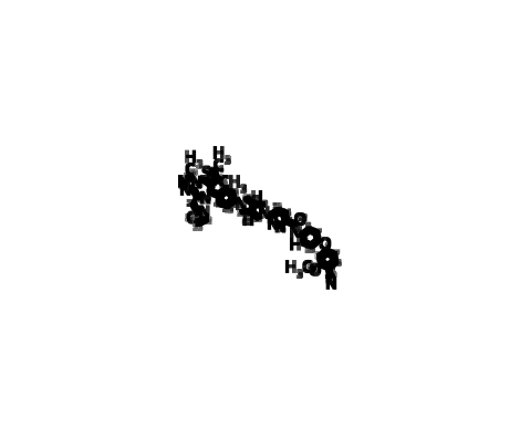 COc1cc(OC2CCC(NC(=O)c3ccc(N4C[C@H]5CN(c6ccc(C7=N[C@@H](Cc8ncco8)c8nnc(C)n8-c8sc(C)c(C)c87)cc6)C[C@H]5C4)nn3)CC2)ccc1C#N